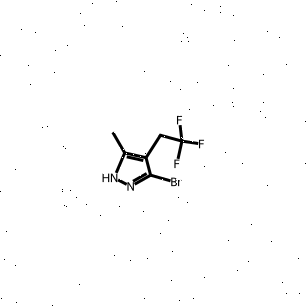 Cc1[nH]nc(Br)c1CC(F)(F)F